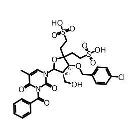 Cc1cn(C2OC(CCS(=O)(=O)O)(CCS(=O)(=O)O)[C@@H](OCc3ccc(Cl)cc3)[C@H]2CO)c(=O)n(C(=O)c2ccccc2)c1=O